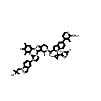 COc1nccc(-c2ccc3c(c2)cc(C(=O)N2CCc4nn(-c5cc(C)c(F)c(C)c5)c(-n5ccn(-c6ccc7c(cnn7CC(C)(C)O)c6)c5=O)c4[C@@H]2C)n3[C@@]2(c3noc(=O)[nH]3)C[C@@H]2C)c1C